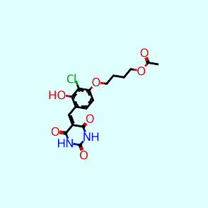 CC(=O)OCCCCOc1ccc(C=C2C(=O)NC(=O)NC2=O)c(O)c1Cl